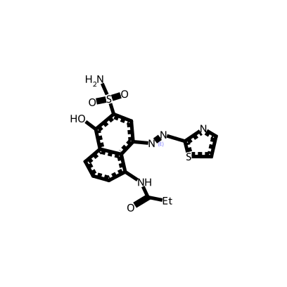 CCC(=O)Nc1cccc2c(O)c(S(N)(=O)=O)cc(/N=N/c3nccs3)c12